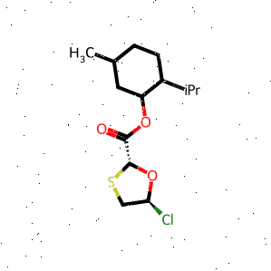 CC1CCC(C(C)C)C(OC(=O)[C@@H]2O[C@@H](Cl)CS2)C1